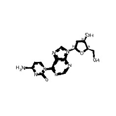 Nc1ccn(-c2ncnc3c2ncn3[C@H]2C[C@@H](O)[C@@H](CO)O2)c(=O)n1